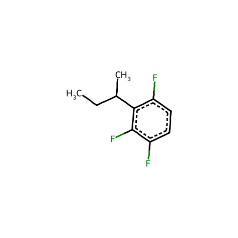 CCC(C)c1c(F)ccc(F)c1F